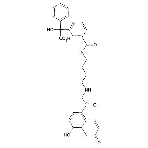 O=C(NCCCCNC[C@H](O)c1ccc(O)c2[nH]c(=O)ccc12)c1cccc(C(O)(C(=O)O)c2ccccc2)c1